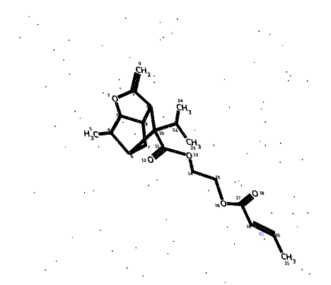 C=C1OC2C(C)C3CC2C1C3(C(=O)OCCOC(=O)/C=C/C)C(C)C